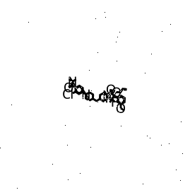 C=CCO[C@@](C(=O)N1CCC(CC2CCN(c3ccc(C(=O)N(C)C)c(Cl)c3)CC2)CC1)(c1cccc(OC)c1)C(C)(F)F